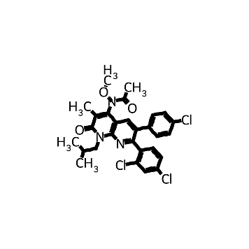 CON(C(C)=O)c1c(C)c(=O)n(CC(C)C)c2nc(-c3ccc(Cl)cc3Cl)c(-c3ccc(Cl)cc3)cc12